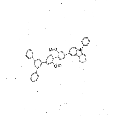 COc1cc(-c2ccc3c(c2)c2ccccc2n3-c2ccccc2)ccc1-c1ccc(-c2cc(-c3ccccc3)cc(-c3ccccc3)c2)cc1C=O